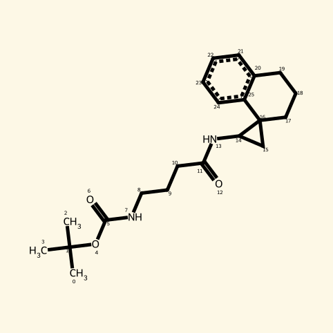 CC(C)(C)OC(=O)NCCCC(=O)NC1CC12CCCc1ccccc12